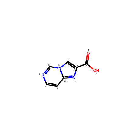 O=C(O)c1cn2cnccc2n1